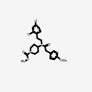 COc1ccc(CC(=O)N(CCc2ccc(Cl)cc2Cl)C2CCN(C(=O)OC(C)(C)C)CC2)cc1